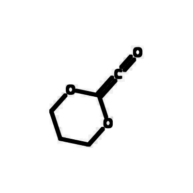 O=C=C1OCCCO1